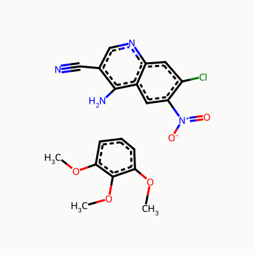 COc1cccc(OC)c1OC.N#Cc1cnc2cc(Cl)c([N+](=O)[O-])cc2c1N